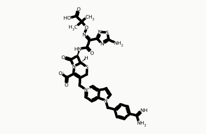 CC(C)(ON=C(C(=O)N[C@@H]1C(=O)N2C(C(=O)[O-])=C(C[n+]3ccc4c(ccn4Cc4ccc(C(=N)N)cc4)c3)CS[C@H]12)c1nsc(N)n1)C(=O)O